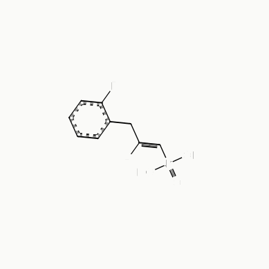 O=P(O)(O)C=C(F)Cc1ccccc1F